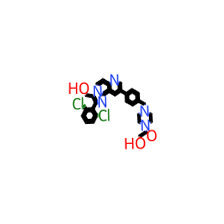 O=C(CO)N1CCN(Cc2ccc(-c3cnc4ccn5c(CO)c(-c6c(Cl)cccc6Cl)nc5c4c3)cc2)CC1